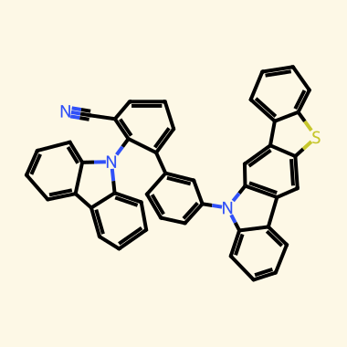 N#Cc1cccc(-c2cccc(-n3c4ccccc4c4cc5sc6ccccc6c5cc43)c2)c1-n1c2ccccc2c2ccccc21